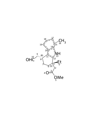 CC[C@@]1(CC(=O)OC)CC[C@H](CC=O)c2c1[nH]c1c(C)cccc21